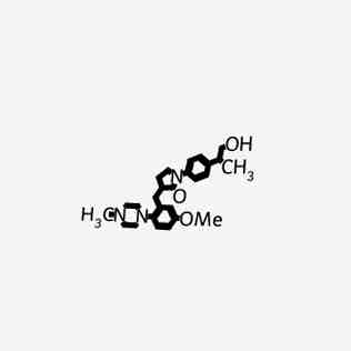 COc1ccc(N2CCN(C)CC2)c(CC2CCN(c3ccc(C(C)CO)cc3)C2=O)c1